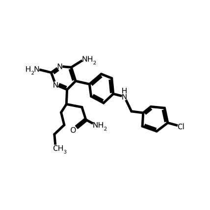 CCCCC(CC(N)=O)c1nc(N)nc(N)c1-c1ccc(NCc2ccc(Cl)cc2)cc1